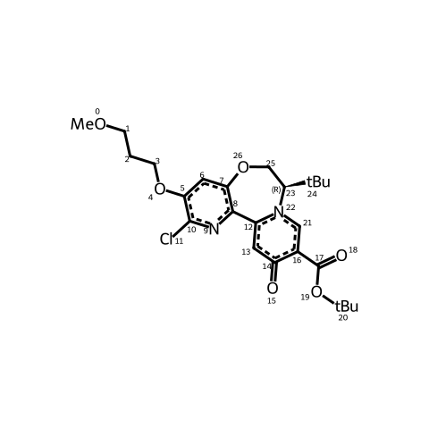 COCCCOc1cc2c(nc1Cl)-c1cc(=O)c(C(=O)OC(C)(C)C)cn1[C@H](C(C)(C)C)CO2